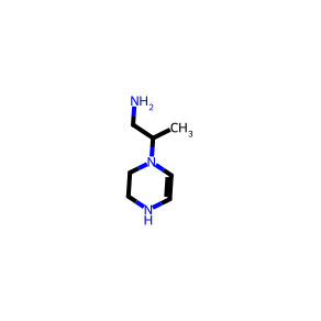 CC(CN)N1C=CNCC1